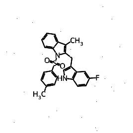 Cc1ccc(S(=O)(=O)n2c(Cc3c[nH]c4ccc(F)cc34)c(C)c3ccccc32)cc1